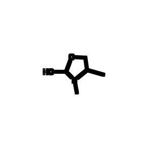 CC1COC(O)N1C